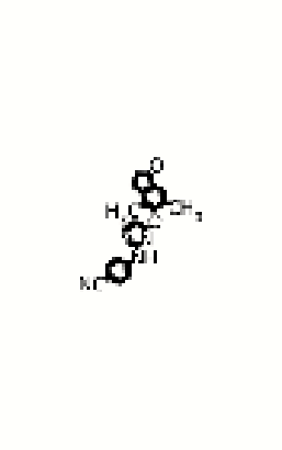 Cc1cc2c(c(C)c1Oc1ccnc(Nc3ccc(C#N)cc3)n1)CCC2=O